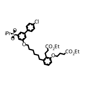 CCOC(=O)CCCOc1cccc(CCCCCCOc2cc(-c3ccc(Cl)cc3)cc(S(=O)(=O)C(C)C)c2)c1CCC(=O)OCC